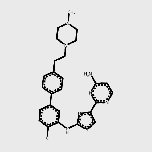 Cc1ccc(-c2ccc(CCN3CCN(C)CC3)cc2)cc1Nc1nc(-c2nccc(N)n2)cs1